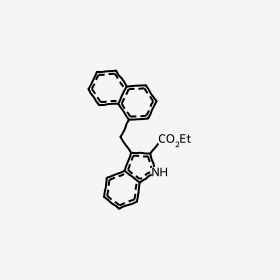 CCOC(=O)c1[nH]c2ccccc2c1Cc1cccc2ccccc12